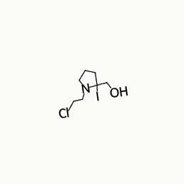 OCC1(I)CCCN1CCCl